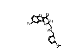 CN(C)c1cccc(CNCc2nc3c(oc4ccc(Br)cc43)c(=O)[nH]2)c1